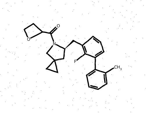 Cc1ccccc1-c1cccc(C[C@H]2CC3(CC3)CN2C(=O)C2CCO2)c1F